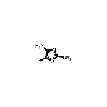 Cc1oc(N)nc1N